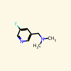 CN(C)Cc1cncc(F)c1